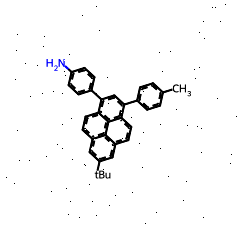 Cc1ccc(-c2cc(-c3ccc(N)cc3)c3ccc4cc(C(C)(C)C)cc5ccc2c3c54)cc1